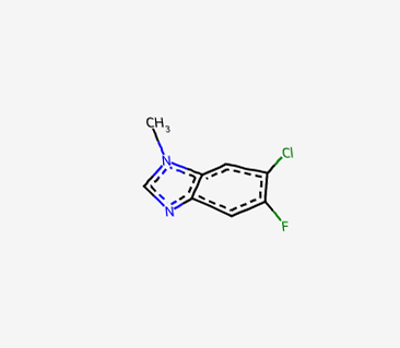 Cn1cnc2cc(F)c(Cl)cc21